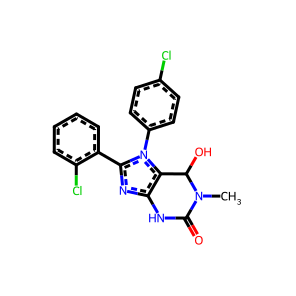 CN1C(=O)Nc2nc(-c3ccccc3Cl)n(-c3ccc(Cl)cc3)c2C1O